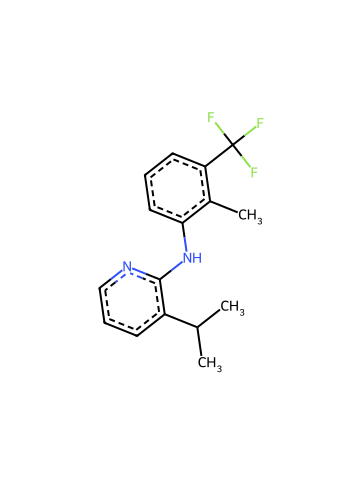 Cc1c(Nc2ncccc2C(C)C)cccc1C(F)(F)F